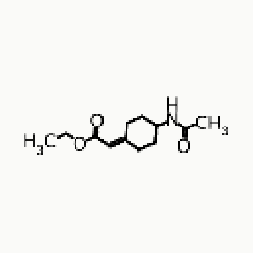 CCOC(=O)C=C1CCC(NC(C)=O)CC1